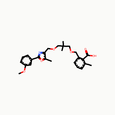 COc1cccc(-c2nc(COCC(C)(C)COCc3cccc(C)c3C(=O)O)c(C)o2)c1